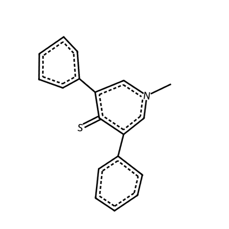 Cn1cc(-c2ccccc2)c(=S)c(-c2ccccc2)c1